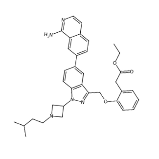 CCOC(=O)Cc1ccccc1OCc1nn(C2CN(CCC(C)C)C2)c2ccc(-c3ccc4ccnc(N)c4c3)cc12